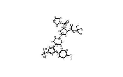 COc1ccc(-n2nc(C(F)(F)F)cc2C2=CCN([C@H]3C[C@@H](C(=O)N4CCSC4)N(C(=O)OC(C)(C)C)C3)CC2)cc1